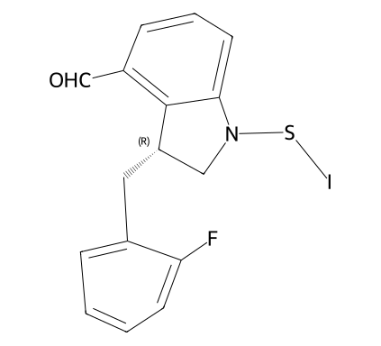 O=Cc1cccc2c1[C@@H](Cc1ccccc1F)CN2SI